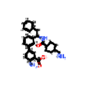 NCC1CCC(C(=O)NC(Cc2ccccc2)c2cccc(-c3ccc(N)c(C(=O)O)c3)c2)CC1